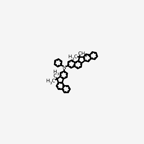 CC1(C)c2cc(N(c3ccccc3)c3ccc4c5c(ccc4c3)-c3cc4ccccc4cc3C5(C)C)ccc2-c2c1ccc1ccccc21